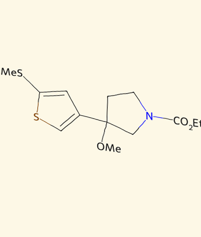 CCOC(=O)N1CCC(OC)(c2csc(SC)c2)C1